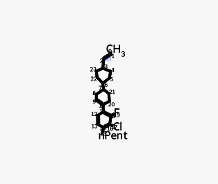 C/C=C/C1CCC(C2CC=C(c3ccc(CCCCC)c(Cl)c3F)CC2)CC1